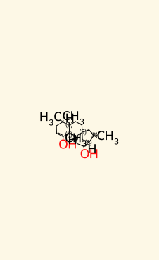 C[C@@H]1C[C@]23CC[C@H]4C(C)(C)CC=C(O)[C@]4(C)[C@H]2CC(O)[C@H]1C3